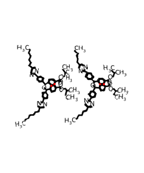 CCCCCCCc1cnc(-c2ccc(C(OC(c3ccc(C(=O)OCC(C)CC)cc3)c3ccc(-c4ncc(CCCCCCC)cn4)cc3)c3ccc(C(=O)OCC(C)CC)cc3)cc2)nc1.CCCCCCc1cnc(-c2ccc(C(OC(c3ccc(C(=O)OCC(C)CC)cc3)c3ccc(-c4ncc(CCCCCC)cn4)cc3)c3ccc(C(=O)OCC(C)CC)cc3)cc2)nc1